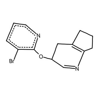 Brc1cccnc1OC1C=NC2=C(CCC2)C1